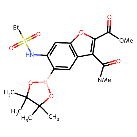 CCS(=O)(=O)Nc1cc2oc(C(=O)OC)c(C(=O)NC)c2cc1B1OC(C)(C)C(C)(C)O1